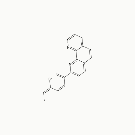 C=C(/C=C\C(Br)=C/C)c1ccc2ccc3cccnc3c2n1